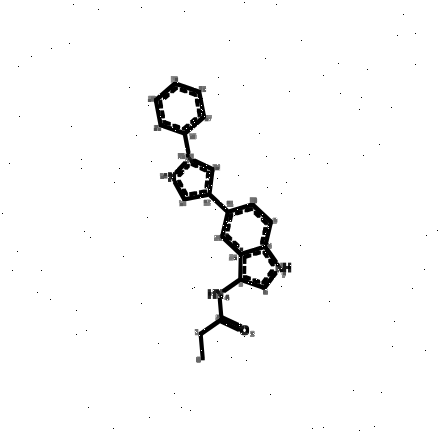 CCC(=O)Nc1c[nH]c2ccc(-c3cnn(-c4ccccc4)c3)cc12